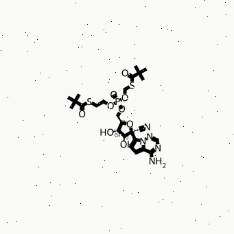 CC(C)(C)C(=O)SCCOP(=O)(OCSC(=O)C(C)(C)C)OC[C@H]1O[C@@](C#N)(c2ccc3c(N)ncnn23)[C@H](O)[C@@H]1O